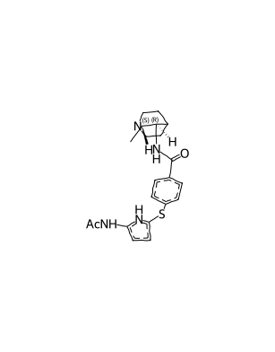 CC(=O)Nc1ccc(Sc2ccc(C(=O)N[C@@H]3C4CCN(CC4)[C@H]3C)cc2)[nH]1